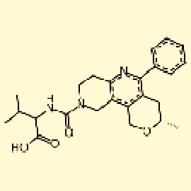 CC(C)C(NC(=O)N1CCc2nc(-c3ccccc3)c3c(c2C1)CO[C@@H](C)C3)C(=O)O